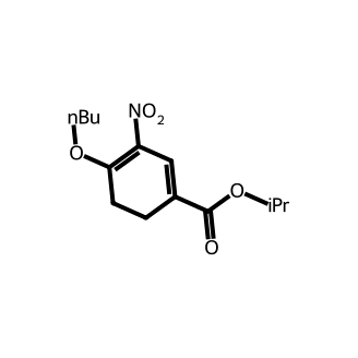 CCCCOC1=C([N+](=O)[O-])C=C(C(=O)OC(C)C)CC1